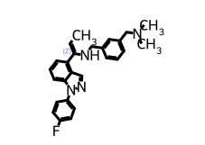 C/C=C(\NCc1cccc(CN(C)C)c1)c1cccc2c1cnn2-c1ccc(F)cc1